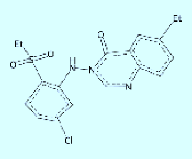 CCc1ccc2ncn(Nc3cc(Cl)ccc3S(=O)(=O)CC)c(=O)c2c1